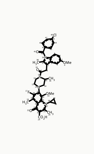 COc1ccc2c(c1)c(CC(=O)N1CCN(c3c(F)c(C)c4c(=O)c(C(=O)O)c(C)n(C5CC5)c4c3OC)CC1C)c(C)n2C(=O)c1ccc(Cl)cc1